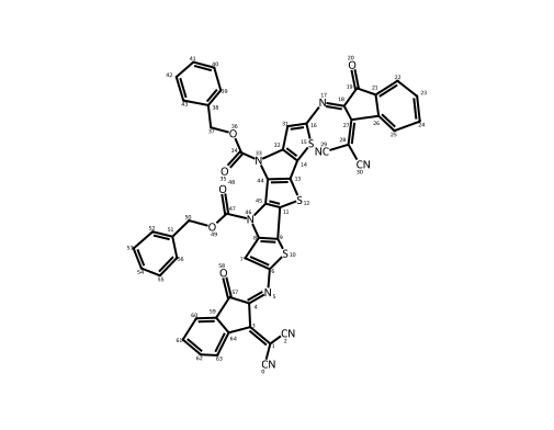 N#CC(C#N)=C1/C(=N/c2cc3c(s2)c2sc4c5sc(/N=C6/C(=O)c7ccccc7C6=C(C#N)C#N)cc5n(C(=O)OCc5ccccc5)c4c2n3C(=O)OCc2ccccc2)C(=O)c2ccccc21